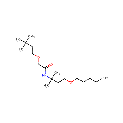 COC(C)(C)CCOCC(=O)NC(C)(C)CCOCCCCC=O